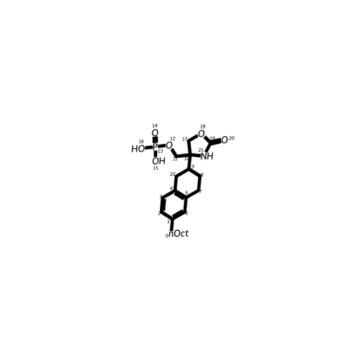 CCCCCCCCc1ccc2c(c1)CCC(C1(COP(=O)(O)O)COC(=O)N1)C2